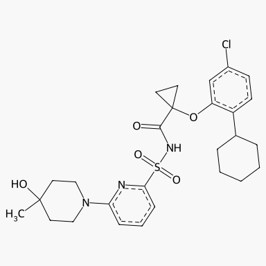 CC1(O)CCN(c2cccc(S(=O)(=O)NC(=O)C3(Oc4cc(Cl)ccc4C4CCCCC4)CC3)n2)CC1